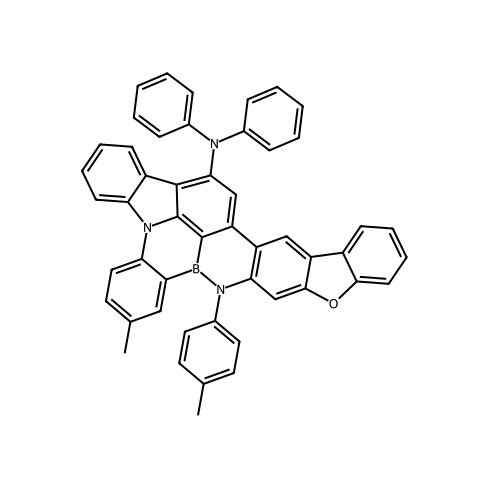 Cc1ccc(N2B3c4cc(C)ccc4-n4c5ccccc5c5c(N(c6ccccc6)c6ccccc6)cc(c3c54)-c3cc4c(cc32)oc2ccccc24)cc1